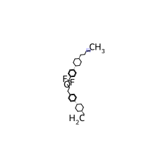 C=C[C@H]1CC[C@H](c2ccc(CCOC(F)(F)c3ccc([C@H]4CC[C@H](CC/C=C/C)CC4)cc3)cc2)CC1